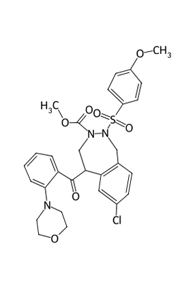 COC(=O)N1CC(C(=O)c2ccccc2N2CCOCC2)c2cc(Cl)ccc2CN1S(=O)(=O)c1ccc(OC)cc1